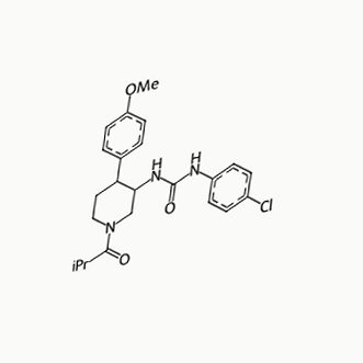 COc1ccc(C2CCN(C(=O)C(C)C)CC2NC(=O)Nc2ccc(Cl)cc2)cc1